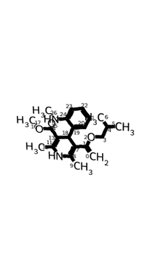 C=C(OCC(C)C)C1=C(C)NC(C)=C(C(=O)OC)C1c1ccccc1NC